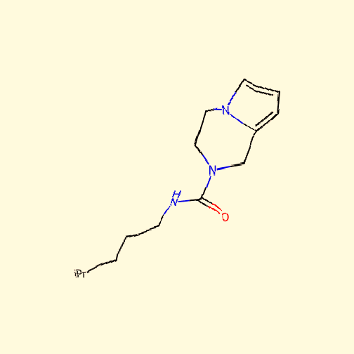 CC(C)CCCNC(=O)N1CCn2cccc2C1